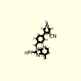 CCCc1nc2c(C)ccnc2n1Cc1ccc(-c2cn(C)cc2C#N)cc1